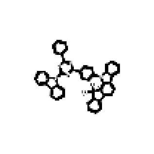 CC1(C)c2ccccc2-c2ccc3c4ccccc4n(-c4ccc(-c5nc(-c6ccccc6)nc(-n6c7ccccc7c7ccccc76)n5)cc4)c3c21